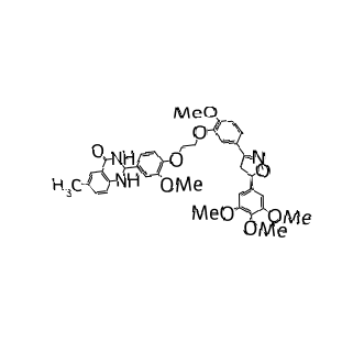 COc1cc(C2NC(=O)c3cc(C)ccc3N2)ccc1OCCOc1cc(C2=NO[C@@H](c3cc(OC)c(OC)c(OC)c3)C2)ccc1OC